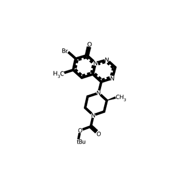 Cc1cc2c(N3CCN(C(=O)OC(C)(C)C)C[C@@H]3C)ncnn2c(=O)c1Br